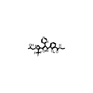 CCNC(=O)c1cccc(-c2noc(-c3cnn(CC(C)O)c3C(F)(F)F)c2-c2ccncn2)c1OC